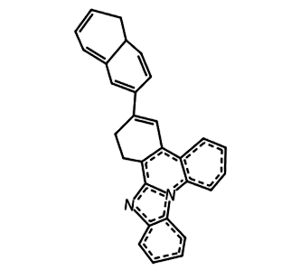 C1=CCC2C=CC(C3=Cc4c(c5nc6ccccc6n5c5ccccc45)CC3)=CC2=C1